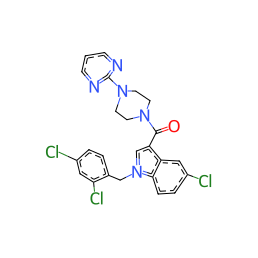 O=C(c1cn(Cc2ccc(Cl)cc2Cl)c2ccc(Cl)cc12)N1CCN(c2ncccn2)CC1